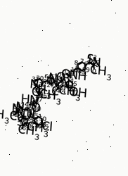 Cc1ncsc1-c1ccc(CNC(=O)[C@@H]2C[C@@H](O)CN2C(=O)C(C(C)C)n2cc(-c3ccnc(O[C@H](C)CNC(=O)C[C@@H]4N=C(c5ccc(Cl)cc5)c5c(sc(C)c5C)-n5c(C)nnc54)c3)cn2)cc1